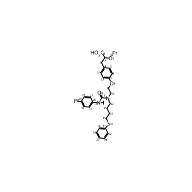 CCOC(Cc1ccc(OCCN(CCCCSc2ccccc2)C(=O)Nc2ccc(F)cc2)cc1)C(=O)O